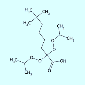 CC(C)OOC(CCCCC(C)(C)C)(OOC(C)C)C(=O)O